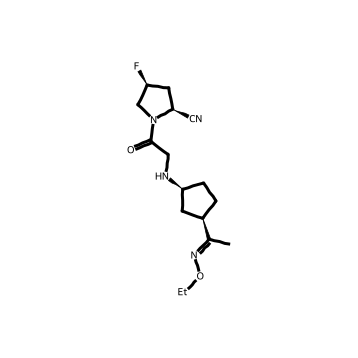 CCO/N=C(\C)[C@@H]1CC[C@H](NCC(=O)N2C[C@@H](F)C[C@H]2C#N)C1